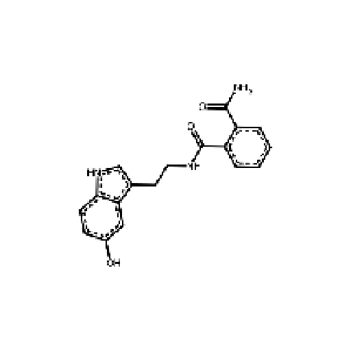 NC(=O)c1ccccc1C(=O)NCCc1c[nH]c2ccc(O)cc12